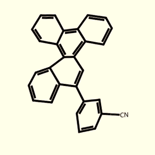 N#Cc1cccc(-c2cc3c4ccccc4c4ccccc4c3c3ccccc23)c1